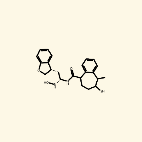 CC1c2ccccc2C(C(=O)N[C@H](BO)C[C@@H]2COc3ccccc32)CCC1S